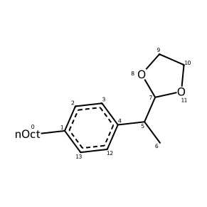 CCCCCCCCc1ccc(C(C)C2OCCO2)cc1